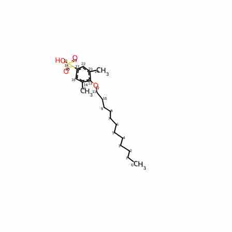 CCCCCCCCCCCCOc1c(C)cc(S(=O)(=O)O)cc1C